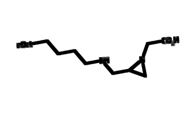 CCCCCCCCCCCCNCC1CN1CC(=O)O